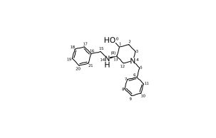 OC1CCN(Cc2ccccc2)C[C@H]1NCc1ccccc1